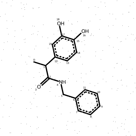 CC(C(=O)NCc1ccccc1)c1ccc(O)c(O)c1